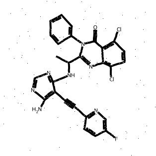 CC(Nc1ncnc(N)c1C#Cc1ccc(F)cn1)c1nc2c(Cl)ccc(Cl)c2c(=O)n1-c1ccccc1